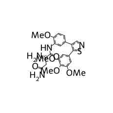 COc1ccc(-c2cnsc2-c2cc(OC)c(OC)c(OC)c2)cc1NC(=O)[C@@H](N)CC(N)=O